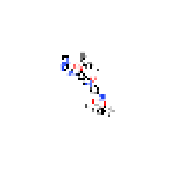 CC(C)Oc1cc2c(cc1NC(=O)c1cnn3cccnc13)CN([C@H]1CC[C@H](NC(=O)OC(C)(C)C)CC1)C2=O